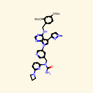 COc1ccc(CNc2ncnc3c2c(-c2ccn(C)n2)cn3-c2cncc(CN(C(N)=O)c3cccc(N4CCC4)n3)c2)c(OC)c1